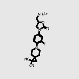 CC(=O)NCC1CN(c2ccc(N3CCC4(CC3)CC4(C#N)C#N)c(F)c2)C(=O)O1